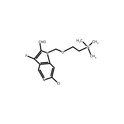 C[Si](C)(C)CCOCn1c(C=O)c(F)c2cnc(Cl)cc21